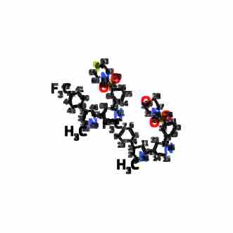 Cc1cc(-c2ccc(C(F)(F)F)cc2)cc(-c2ccnc(-c3cccc(S(=O)(=O)N4CCOCC4)c3)c2)n1.Cc1cc(-c2ccc(C(F)(F)F)cc2)cc(-c2ccnc(-c3cccc(S(=O)(=O)N4CCSCC4)c3)c2)n1